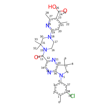 Cc1ccc(N2CC(C)(C)c3nc(C(=O)N4CCN(c5cc(C)c(C(=O)O)c(C)n5)CC4(C)C)cnc32)cc1Cl